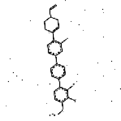 C=CC1CC=C(c2ccc(-c3ccc(-c4ccc(OCCCCCCCC)c(F)c4F)cc3)cc2F)CC1